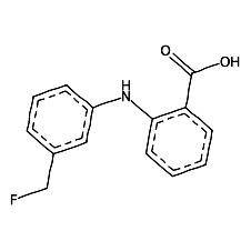 O=C(O)c1ccccc1Nc1cccc(CF)c1